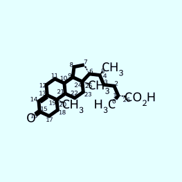 C[C@H](CC[C@@H](C)[C@H]1CCC2C3CCC4=CC(=O)CC[C@]4(C)C3CC[C@@]21C)C(=O)O